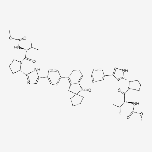 COC(=O)N[C@H](C(=O)N1CCC[C@H]1c1nc(-c2ccc(-c3ccc(-c4ccc(-c5cnc([C@@H]6CCCN6C(=O)[C@@H](NC(=O)OC)C(C)C)[nH]5)cc4)c4c3C(=O)C3(CCCC3)C4)cc2)c[nH]1)C(C)C